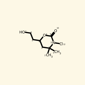 CC1(C)CC(CCO)OC(=O)N1Cl